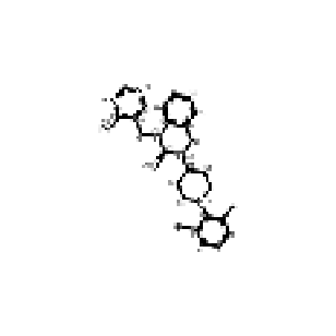 Cc1cccc(F)c1N1CCC(N2Cc3ccccc3N(Cc3cncnc3C(C)C)C2=O)CC1